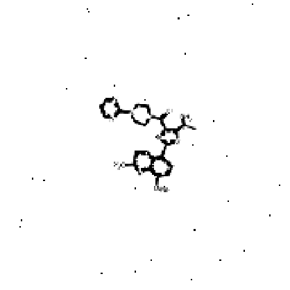 COc1ccc(-c2nc(C(=O)N3CCN(c4ncccn4)CC3)c([C@H](C)N)o2)c2ccc(C(F)(F)F)nc12